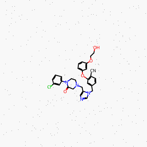 N#Cc1ccc(Cn2cncc2CN2CCN(c3cccc(Cl)c3)C(=O)C2)cc1Oc1cccc(OCCO)c1